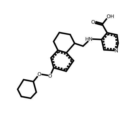 O=C(O)c1ccncc1NCC1CCCc2cc(OOC3CCCCC3)ccc21